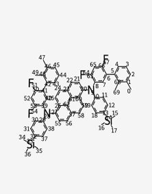 Cc1cccc(-c2cc(N(c3ccc([Si](C)(C)C)cc3)c3ccc4ccc5c(N(c6ccc([Si](C)(C)C)cc6)c6cc(-c7cccc(C)c7C)c(F)cc6F)ccc6ccc3c4c65)c(F)cc2F)c1C